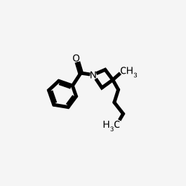 CCCCC1(C)CN(C(=O)c2ccccc2)C1